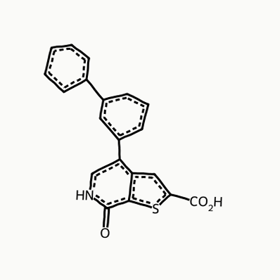 O=C(O)c1cc2c(-c3cccc(-c4ccccc4)c3)c[nH]c(=O)c2s1